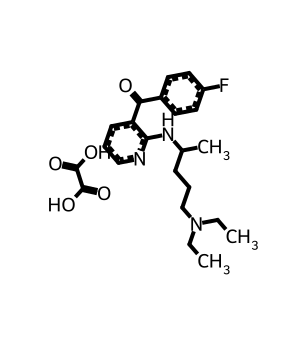 CCN(CC)CCCC(C)Nc1ncccc1C(=O)c1ccc(F)cc1.O=C(O)C(=O)O